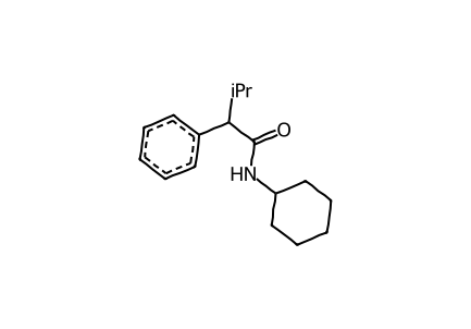 CC(C)C(C(=O)NC1CCCCC1)c1ccccc1